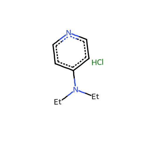 CCN(CC)c1ccncc1.Cl